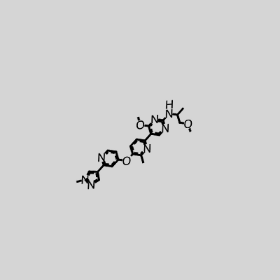 COCC(C)Nc1ncc(-c2ccc(Oc3ccnc(-c4cnn(C)c4)c3)c(C)n2)c(OC)n1